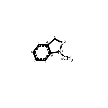 CN1SCc2ccccc21